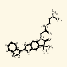 CN(C)CCNC(=O)CN1C(=O)C(C)(C)c2cc3nc(-c4n[nH]c5ccccc45)[nH]c3cc21